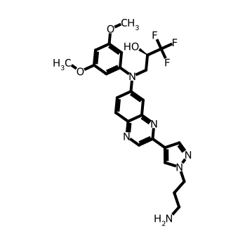 COc1cc(OC)cc(N(C[C@@H](O)C(F)(F)F)c2ccc3ncc(-c4cnn(CCCN)c4)nc3c2)c1